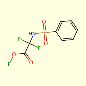 O=C(OF)C(F)(F)NS(=O)(=O)c1ccccc1